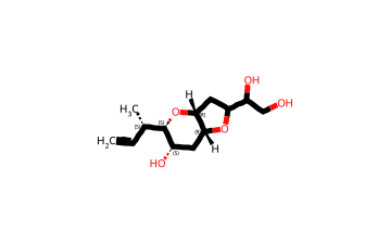 C=C[C@H](C)[C@@H]1O[C@@H]2CC(C(O)CO)O[C@@H]2C[C@@H]1O